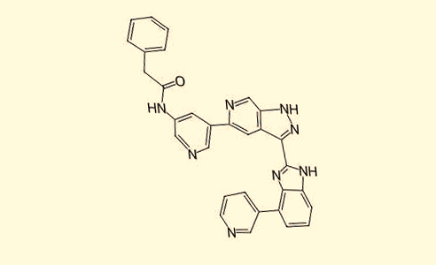 O=C(Cc1ccccc1)Nc1cncc(-c2cc3c(-c4nc5c(-c6cccnc6)cccc5[nH]4)n[nH]c3cn2)c1